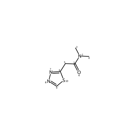 CN(C)C(=O)Cc1nn[c]s1